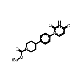 CC(C)(C)OC(=O)N1CCC(c2ccc(-n3ccc(=O)[nH]c3=O)cc2)CC1